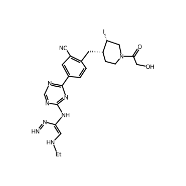 CCN/C=C(\N=N)Nc1ncnc(-c2ccc(C[C@H]3CCN(C(=O)CO)C[C@H]3I)c(C#N)c2)n1